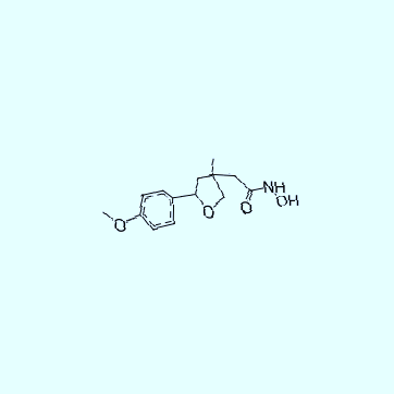 COc1ccc(C2CC(C)(CC(=O)NO)CO2)cc1